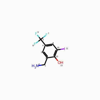 NCc1cc(C(F)(F)F)cc(I)c1O